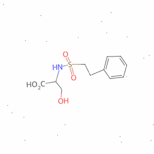 O=C(O)C(CO)NS(=O)(=O)CCc1ccccc1